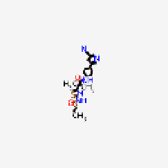 CCC[S+]([O-])Nc1nc(C(C)(C)C(=O)Nc2ccc(-c3cncc(C#N)c3)cc2)cs1